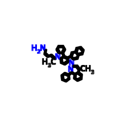 CC1=C=C(n2c3cc4ccccc4cc3c3c4c5ccccc5n(/C(C)=C/C=C\CN)c4ccc32)N=C(C2=CC=CCC2)c2ccccc21